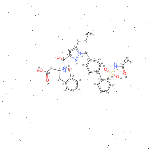 CCCc1cc(C(=O)NC(CC(=O)O)Cc2ccccc2Br)nn1Cc1ccc(-c2ccccc2S(=O)(=O)NC(C)=O)cc1